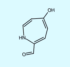 O=CC1=CC=C(O)C=CN1